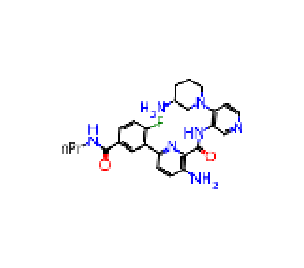 CCCNC(=O)c1ccc(F)c(-c2ccc(N)c(C(=O)Nc3cnccc3N3CCC[C@H](N)C3)n2)c1